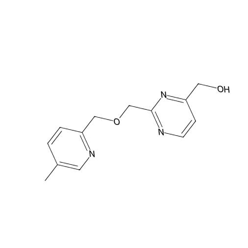 Cc1ccc(COCc2nccc(CO)n2)nc1